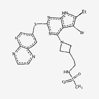 CCc1[nH]c2nc(Sc3cnc4nccnc4c3)nc(N3CC(CNS(C)(=O)=O)C3)c2c1Br